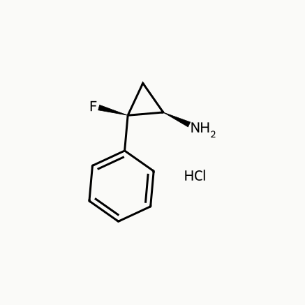 Cl.N[C@@H]1C[C@@]1(F)c1ccccc1